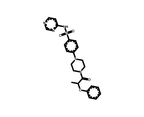 CC(Oc1ccccc1)C(=O)N1CCN(c2ccc(S(=O)(=O)Nc3ccncn3)cc2)CC1